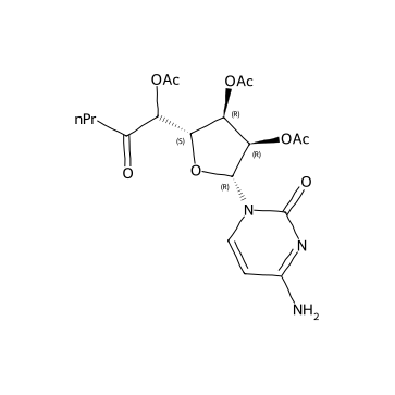 CCCC(=O)C(OC(C)=O)[C@H]1O[C@@H](n2ccc(N)nc2=O)[C@H](OC(C)=O)[C@@H]1OC(C)=O